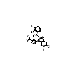 COC(=O)c1scc(-n2cnc3cc(Cl)c(F)cc32)c1O[C@H](C)c1cccc(O)c1Cl